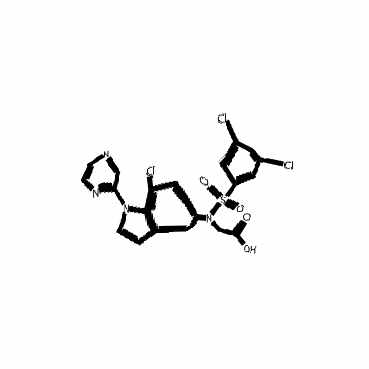 O=C(O)CN(c1cc(Cl)c2c(ccn2-c2cnccn2)c1)S(=O)(=O)c1cc(Cl)cc(Cl)c1